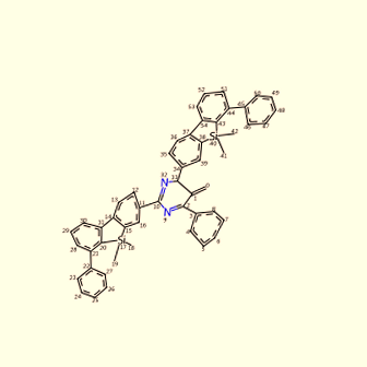 C=C1C(c2ccccc2)=NC(c2ccc3c(c2)[Si](C)(C)c2c(-c4ccccc4)cccc2-3)=NC1c1ccc2c(c1)[Si](C)(C)c1c(-c3ccccc3)cccc1-2